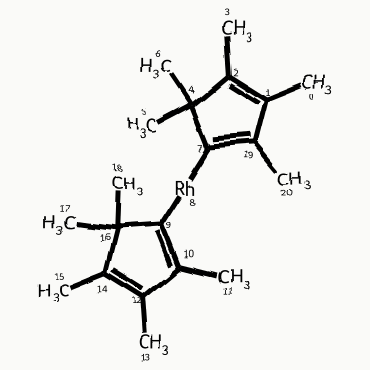 CC1=C(C)C(C)(C)[C]([Rh][C]2=C(C)C(C)=C(C)C2(C)C)=C1C